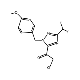 COc1ccc(Cn2nc(C(F)F)nc2C(=O)CCl)cc1